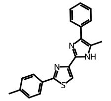 Cc1ccc(-c2nc(-c3nc(-c4ccccc4)c(C)[nH]3)cs2)cc1